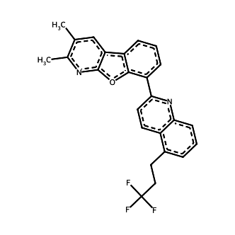 Cc1cc2c(nc1C)oc1c(-c3ccc4c(CCC(F)(F)F)cccc4n3)cccc12